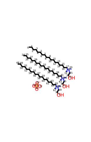 CCCCCCCCCCCCCCCCCC[N+](C)(C)CCO.CCCCCCCCCCCCCCCCCC[N+](C)(C)CCO.CCCCCCCCCCCCCCCCCC[N+](C)(C)CCO.O=P([O-])([O-])[O-]